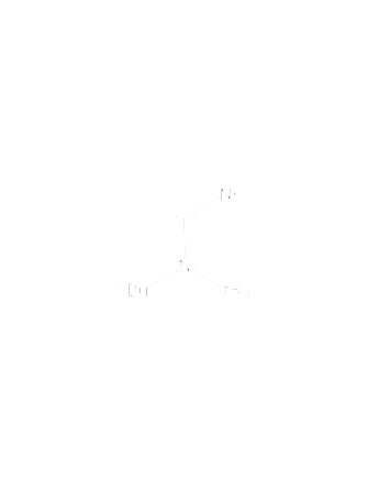 CCCCN(CN=O)C(C)(C)C